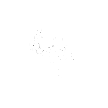 CC(=O)OCCOC(OCCOC(C)=O)O[C@H]1C(O[Si](C)(C)C(C)(C)C)[C@@H](CI)O[C@H]1n1cnc2c(=O)[nH]c(NC(=O)C(C)C)nc21